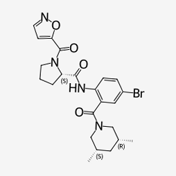 C[C@@H]1C[C@H](C)CN(C(=O)c2cc(Br)ccc2NC(=O)[C@@H]2CCCN2C(=O)c2ccno2)C1